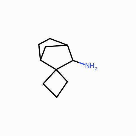 NC1C2CCC(C2)C12CCC2